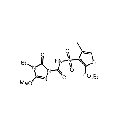 CCOC(=O)c1occ(C)c1S(=O)(=O)NC(=O)n1nc(OC)n(CC)c1=O